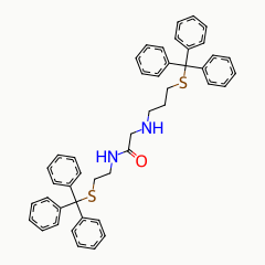 O=C(CNCCCSC(c1ccccc1)(c1ccccc1)c1ccccc1)NCCSC(c1ccccc1)(c1ccccc1)c1ccccc1